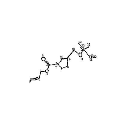 C=CCOC(=O)N1CCC(CO[Si](C)(C)C(C)(C)C)C1